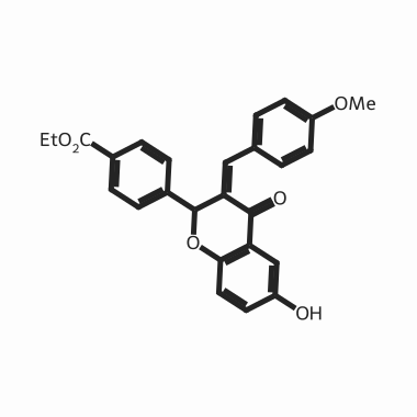 CCOC(=O)c1ccc(C2Oc3ccc(O)cc3C(=O)C2=Cc2ccc(OC)cc2)cc1